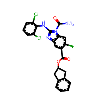 NC(=O)n1c(Nc2c(Cl)cccc2Cl)nc2cc(C(=O)OC3Cc4ccccc4C3)c(F)cc21